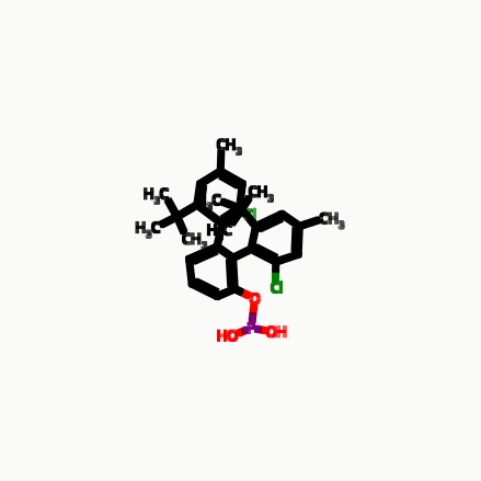 Cc1cc(Cl)c(-c2cccc(OP(O)O)c2-c2c(Cl)cc(C)cc2C(C)(C)C)c(C(C)(C)C)c1